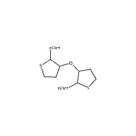 CCCCCCCCC1SCCC1OC1CCSC1CCCCCCCC